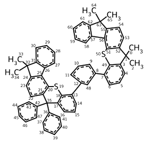 CC1(C)c2cccc(-c3cccc(-c4cccc5c4Sc4c(ccc6c4-c4ccccc4C6(C)C)C5(c4ccccc4)c4ccccc4)c3)c2Sc2c1ccc1c2-c2ccccc2C1(C)C